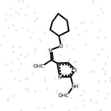 O=[C]C(=NOC1CCCCC1)c1csc(NC=O)n1